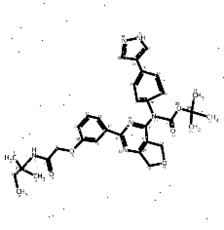 CCC(C)(C)NC(=O)COc1cccc(-c2nc3c(c(N(C(=O)OC(C)(C)C)c4ccc(-c5cn[nH]c5)cc4)n2)COC3)c1